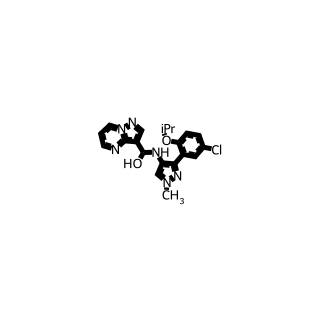 CC(C)Oc1ccc(Cl)cc1-c1nn(C)cc1NC(O)c1cnn2cccnc12